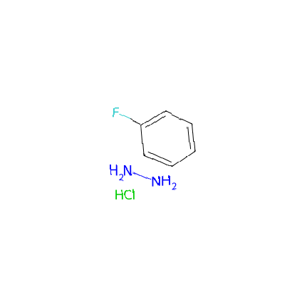 Cl.Fc1ccccc1.NN